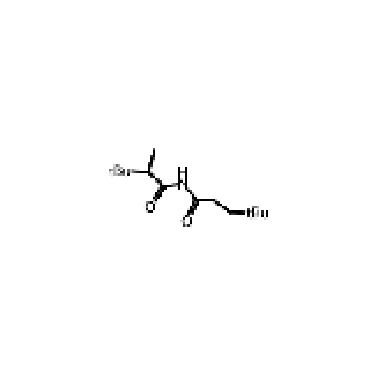 CC(C(=O)NC(=O)CCC(C)(C)C)C(C)(C)C